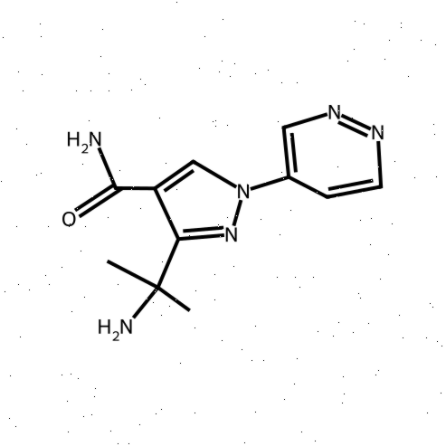 CC(C)(N)c1nn(-c2ccnnc2)cc1C(N)=O